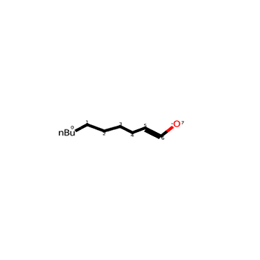 CCCCCCCC/C=C/[O]